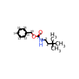 CC(C)(C)CCNC(=O)OCc1ccccc1